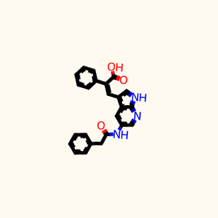 O=C(Cc1ccccc1)Nc1cnc2[nH]cc(/C=C(\C(=O)O)c3ccccc3)c2c1